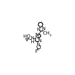 Cc1nc2ccccc2nc1-c1cc2nc(N3CC[C@@H](F)C3)cc(NCC3(O)CC3)n2n1